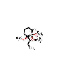 C=C.CCCC1(OC)CCCC[Si]1(OC)OC